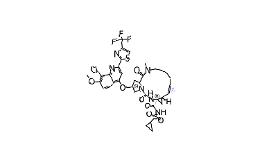 COc1ccc2c(O[C@H]3CC4C(=O)N(C)CCCC/C=C\[C@@H]5C[C@@]5(C(=O)NS(=O)(=O)C5CC5)NC(=O)N4C3)cc(-c3nc(C(F)(F)F)cs3)nc2c1Cl